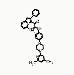 Cc1cc(C)nc(N2CCN(c3ccc(NC(=O)C(=O)c4c(-c5ccccc5)cc5cccc(C)n45)cc3)CC2)c1